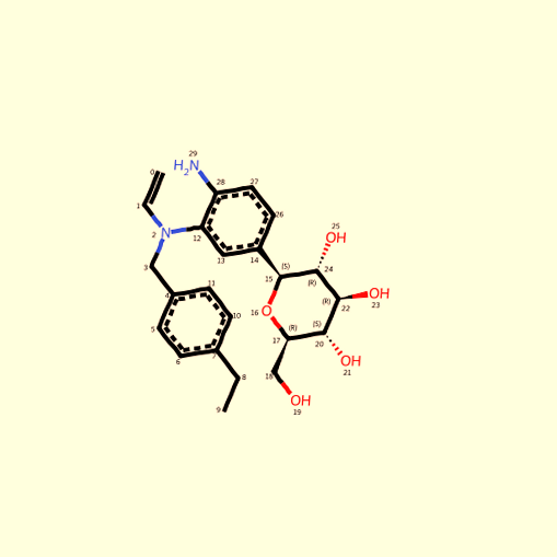 C=CN(Cc1ccc(CC)cc1)c1cc([C@@H]2O[C@H](CO)[C@@H](O)[C@H](O)[C@H]2O)ccc1N